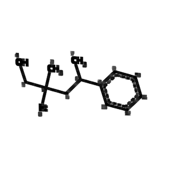 CCC(C)(CO)CC(C)c1ccccc1